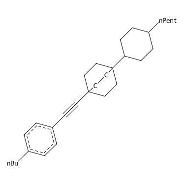 CCCCCC1CCC(C23CCC(C#Cc4ccc(CCCC)cc4)(CC2)CC3)CC1